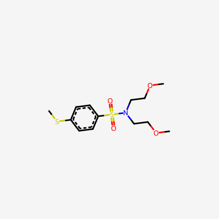 COCCN(CCOC)S(=O)(=O)c1ccc(SC)cc1